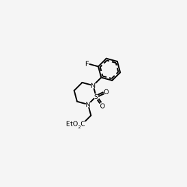 CCOC(=O)CN1CCCN(c2ccccc2F)S1(=O)=O